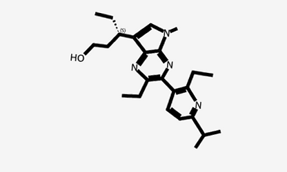 CCc1nc(C(C)C)ccc1-c1nc2c(nc1CC)c([C@@H](CC)CCO)cn2C